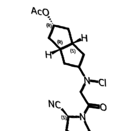 CC(=O)O[C@H]1C[C@H]2CC(N(Cl)CC(=O)N3CCC[C@H]3C#N)C[C@H]2C1